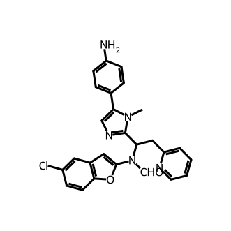 Cn1c(-c2ccc(N)cc2)cnc1C(Cc1ccccn1)N(C=O)c1cc2cc(Cl)ccc2o1